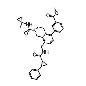 COC(=O)c1cccc(-c2ccc(CNC(=O)C3CC3c3ccccc3)c3c2CCN(C(=O)NC2(C)CC2)C3)c1